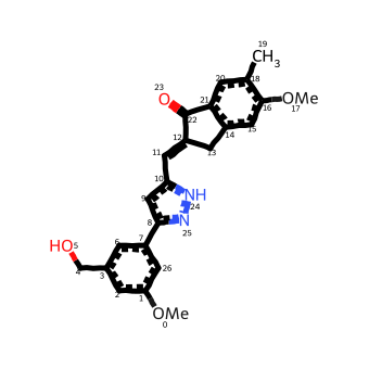 COc1cc(CO)cc(-c2cc(/C=C3\Cc4cc(OC)c(C)cc4C3=O)[nH]n2)c1